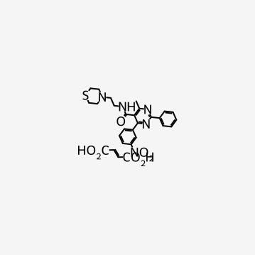 Cc1nc(-c2ccccc2)nc(-c2cccc([N+](=O)[O-])c2)c1C(=O)NCCN1CCSCC1.O=C(O)/C=C/C(=O)O